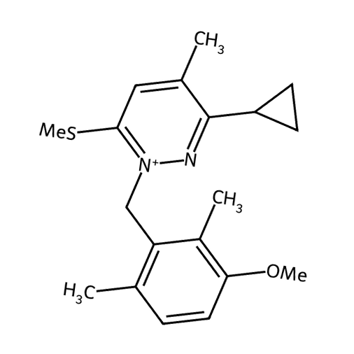 COc1ccc(C)c(C[n+]2nc(C3CC3)c(C)cc2SC)c1C